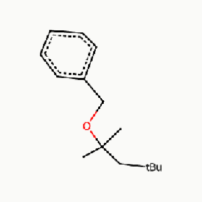 CC(C)(C)CC(C)(C)OCc1ccccc1